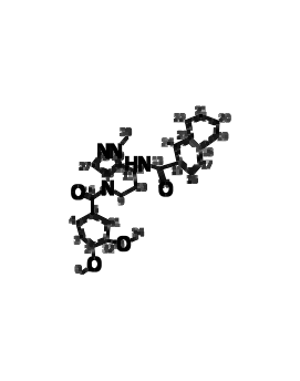 COc1ccc(C(=O)N2CCC(NC(=O)c3ccc4ccccc4c3)c3c2cnn3C)cc1OC